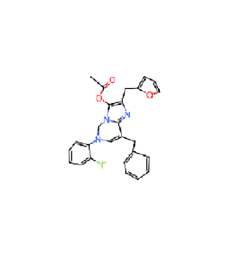 CC(=O)Oc1c(Cc2ccco2)nc2n1CN(c1ccccc1F)C=C2Cc1ccccc1